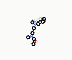 CC1(C)c2cc(N(c3ccccc3)c3ccc(-c4ccc(N(c5ccccc5)c5ccc6oc7ccccc7c6c5)cc4)cc3)ccc2-c2ccc3ccccc3c21